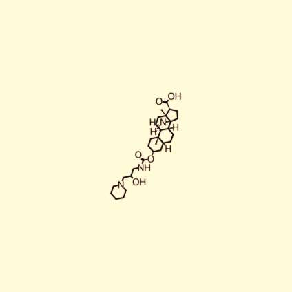 C[C@]12CC[C@H](OC(=O)NCC(O)CN3CCCCC3)C[C@H]1CC[C@@H]1[C@@H]2CC[C@]2(C)[C@@H](C(=O)O)CC[C@]12N